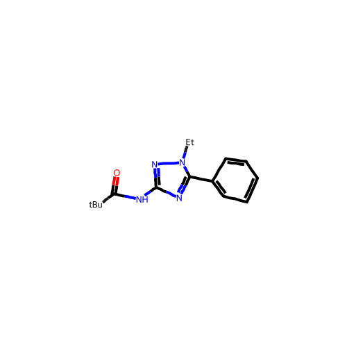 CCn1nc(NC(=O)C(C)(C)C)nc1-c1ccccc1